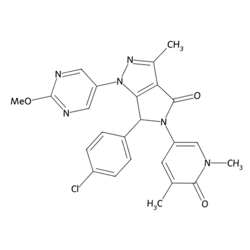 COc1ncc(-n2nc(C)c3c2C(c2ccc(Cl)cc2)N(c2cc(C)c(=O)n(C)c2)C3=O)cn1